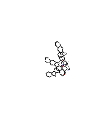 CC1C/C=C(\c2ccc(-c3ccccc3)cc2)C(C)C(c2ccc3c(c2)sc2ccccc23)/N=C\1c1cc2oc3cc4ccccc4cc3c2cc1-n1c2cc3ccccc3cc2c2cc3ccccc3cc21